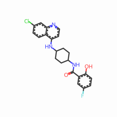 O=C(NC1CCC(Nc2ccnc3cc(Cl)ccc23)CC1)c1cc(F)ccc1O